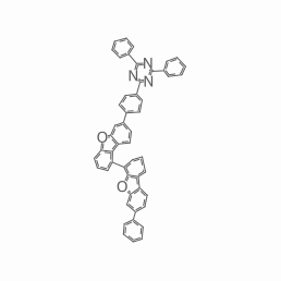 c1ccc(-c2ccc3c(c2)oc2c(-c4cccc5oc6cc(-c7ccc(-c8nc(-c9ccccc9)nc(-c9ccccc9)n8)cc7)ccc6c45)cccc23)cc1